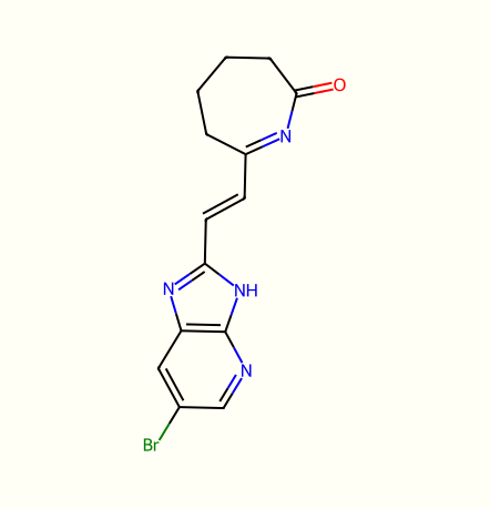 O=C1CCCCC(C=Cc2nc3cc(Br)cnc3[nH]2)=N1